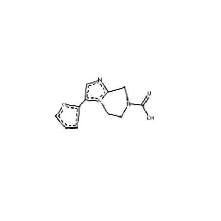 O=C(O)N1CCn2c(-c3ccco3)cnc2C1